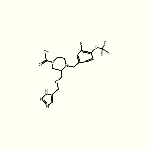 O=C(O)N1CCN(Cc2ccc(OC(F)(F)F)c(F)c2)C(COCc2cnn[nH]2)C1